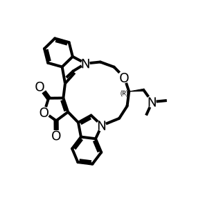 CN(C)C[C@H]1CCn2cc(c3ccccc32)C2=C(C(=O)OC2=O)C2=CN(CCO1)C1C=CC=CC21